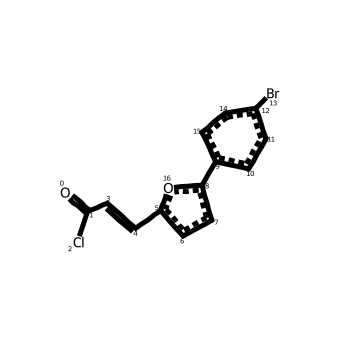 O=C(Cl)C=Cc1ccc(-c2ccc(Br)cc2)o1